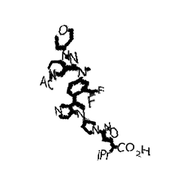 CC(=O)N1CCc2c(c(N(C)c3ccc(-c4cn([C@@H]5CCN(c6cc(C(C(=O)O)C(C)C)on6)C5)c5ccncc45)c(C(F)F)c3)nn2C2CCOCC2)C1